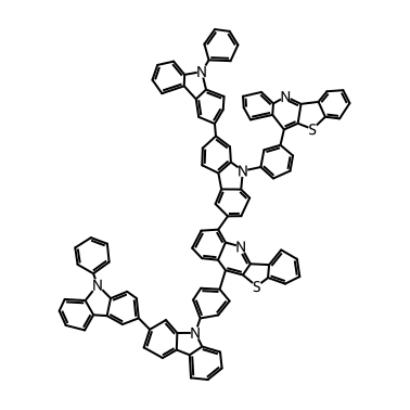 c1ccc(-n2c3ccccc3c3cc(-c4ccc5c6ccccc6n(-c6ccc(-c7c8cccc(-c9ccc%10c(c9)c9ccc(-c%11ccc%12c(c%11)c%11ccccc%11n%12-c%11ccccc%11)cc9n%10-c9cccc(-c%10c%11ccccc%11nc%11c%10sc%10ccccc%10%11)c9)c8nc8c7sc7ccccc78)cc6)c5c4)ccc32)cc1